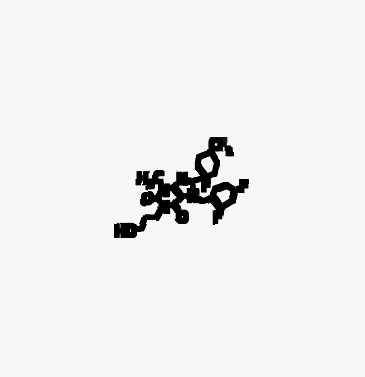 Cn1c(=O)n(CCCO)c(=O)c2c1nc(C1(F)CCC(C(F)(F)F)CC1)n2Cc1ccc(F)cc1F